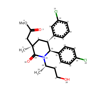 COC(=O)C[C@@]1(C)C[C@H](c2cccc(Cl)c2)[C@@H](c2ccc(Cl)cc2)N([C@@H](C)CCO)C1=O